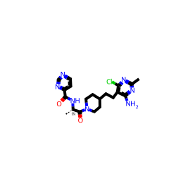 Cc1nc(N)c(CCC2CCN(C(=O)[C@H](C)NC(=O)c3ccncn3)CC2)c(Cl)n1